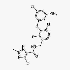 Cc1nc(Cl)c(C(=O)NCc2ccc(Cl)c(Oc3cc(N)cc(Cl)c3)c2F)[nH]1